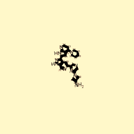 NC1CN(c2cncc(-c3cc4c(-c5cc6c(N7CCCCC7)ccnc6[nH]5)n[nH]c4cn3)n2)C1